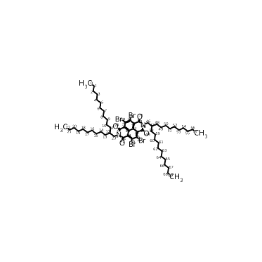 CCCCCCCCCCCCC(CCCCCCCCCC)CN1C(=O)c2c(Br)c(Br)c3c4c(c(Br)c(Br)c(c24)C1=O)C(=O)N(CC(CCCCCCCCCC)CCCCCCCCCCCC)C3=O